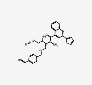 [N-]=[N+]=NCC(=N)/C(=C\NCc1ccc(C=N)cc1)N(N)C(=O)c1cc(-c2cccs2)nc2ccccc12